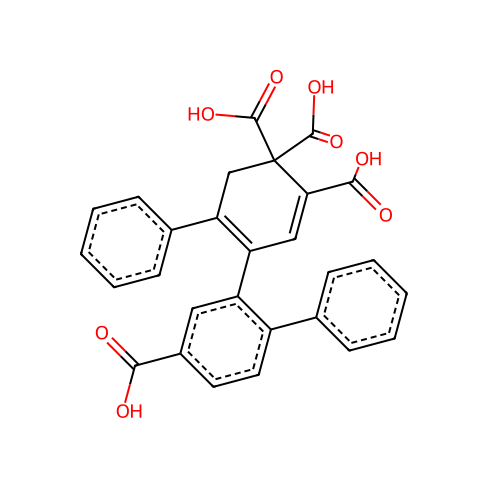 O=C(O)C1=CC(c2cc(C(=O)O)ccc2-c2ccccc2)=C(c2ccccc2)CC1(C(=O)O)C(=O)O